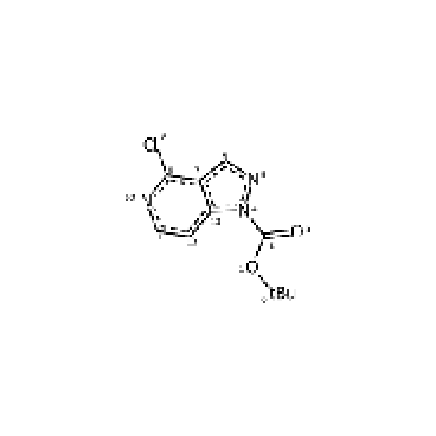 CC(C)(C)OC(=O)n1ncc2c(Cl)nccc21